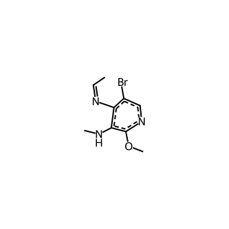 C/C=N\c1c(Br)cnc(OC)c1NC